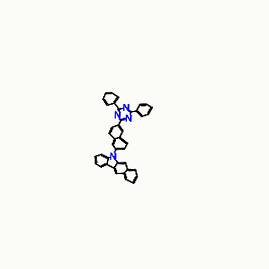 c1ccc(-c2nc(-c3ccccc3)nc(-c3ccc4cc(-n5c6ccccc6c6cc7ccccc7cc65)ccc4c3)n2)cc1